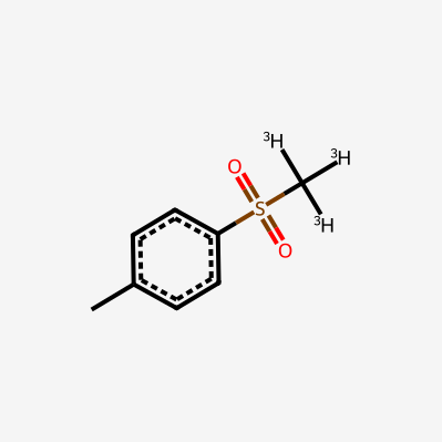 [3H]C([3H])([3H])S(=O)(=O)c1ccc(C)cc1